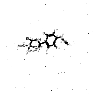 CCC(NC(=O)c1c(F)c(F)c(N=[N+]=[N-])c(F)c1F)[Si](OC)(OC)OC